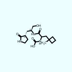 CC1(CC(NC(=O)O)C(=O)N[C@H](CO)C[C@@H]2CCNC2=O)CCC1